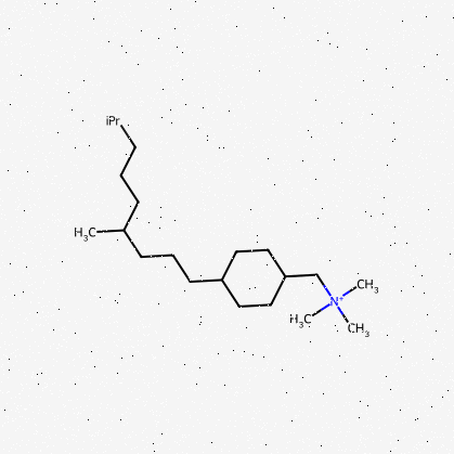 CC(C)CCCC(C)CCCC1CCC(C[N+](C)(C)C)CC1